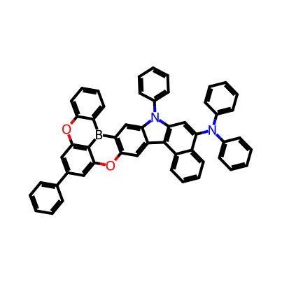 c1ccc(-c2cc3c4c(c2)Oc2cc5c6c7ccccc7c(N(c7ccccc7)c7ccccc7)cc6n(-c6ccccc6)c5cc2B4c2ccccc2O3)cc1